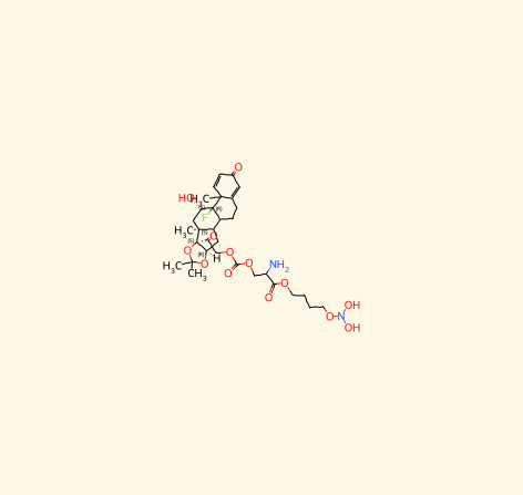 CC1(C)O[C@@H]2CC3C4CCC5=CC(=O)C=CC5(C)[C@@]4(F)[C@@H](O)C[C@]3(C)[C@]2(C(=O)COC(=O)OCC(N)C(=O)OCCCCON(O)O)O1